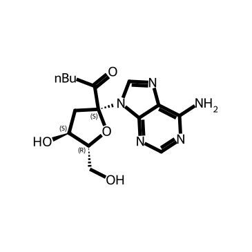 CCCCC(=O)[C@]1(n2cnc3c(N)ncnc32)C[C@H](O)[C@@H](CO)O1